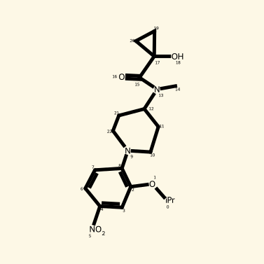 CC(C)Oc1cc([N+](=O)[O-])ccc1N1CCC(N(C)C(=O)C2(O)CC2)CC1